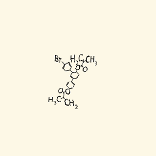 C=C(C)C(=O)Oc1ccc(-c2ccc(OC(=O)C(=C)C)c(-c3ccc(Br)cc3)c2)cc1